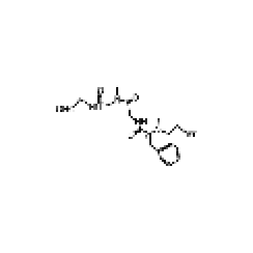 CC(C)CCN(C)[C@@H](Cc1ccccc1)C(=O)NCC(=O)N(C)CC(=O)NCC=O